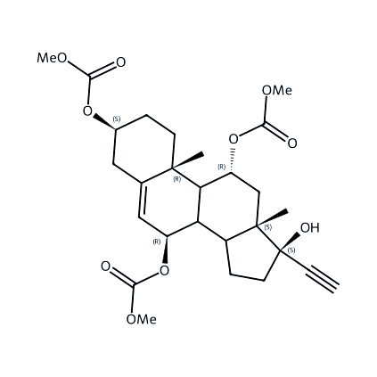 C#C[C@]1(O)CCC2C3C([C@H](OC(=O)OC)C[C@@]21C)[C@@]1(C)CC[C@H](OC(=O)OC)CC1=C[C@@H]3OC(=O)OC